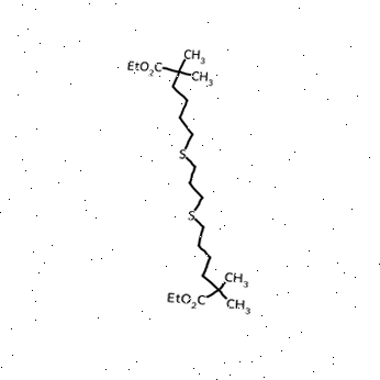 CCOC(=O)C(C)(C)CCCCSCCCSCCCCC(C)(C)C(=O)OCC